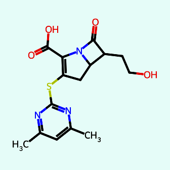 Cc1cc(C)nc(SC2=C(C(=O)O)N3C(=O)C(CCO)C3C2)n1